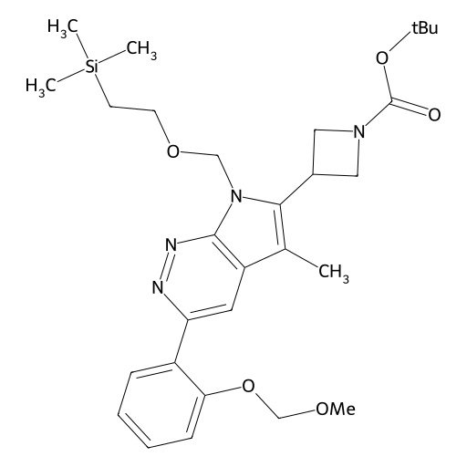 COCOc1ccccc1-c1cc2c(C)c(C3CN(C(=O)OC(C)(C)C)C3)n(COCC[Si](C)(C)C)c2nn1